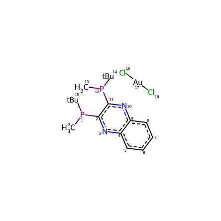 CP(c1nc2ccccc2nc1P(C)C(C)(C)C)C(C)(C)C.[Cl][Au][Cl]